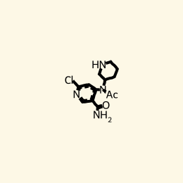 CC(=O)N(c1cc(Cl)ncc1C(N)=O)C1CCCNC1